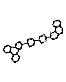 c1cnc2c(c1)ccc1ccc(-c3ncc(-c4ccc(-c5ccc6c7ccccc7c7ccccc7c6c5)cc4)cn3)nc12